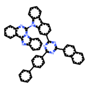 c1ccc(-c2ccc(-c3nc(-c4ccc5ccccc5c4)nc(-c4ccc5c6ccccc6n(-c6nc7ccccc7c7nc8ccccc8n67)c5c4)n3)cc2)cc1